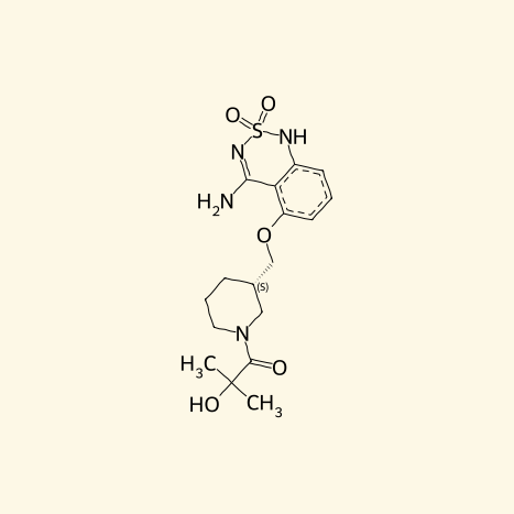 CC(C)(O)C(=O)N1CCC[C@H](COc2cccc3c2C(N)=NS(=O)(=O)N3)C1